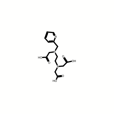 O=C(O)CN(CCN(CC(=O)O)Cc1ccccn1)CC(=O)O